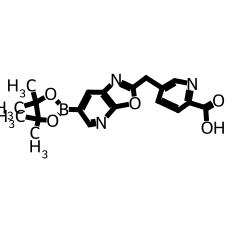 CC1(C)OB(c2cnc3oc(Cc4ccc(C(=O)O)nc4)nc3c2)OC1(C)C